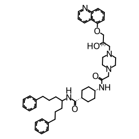 O=C(CN1CCN(C[C@@H](O)COc2cccc3ncccc23)CC1)N[C@H]1CC[C@@H](C(=O)NC(CCCc2ccccc2)CCCc2ccccc2)CC1